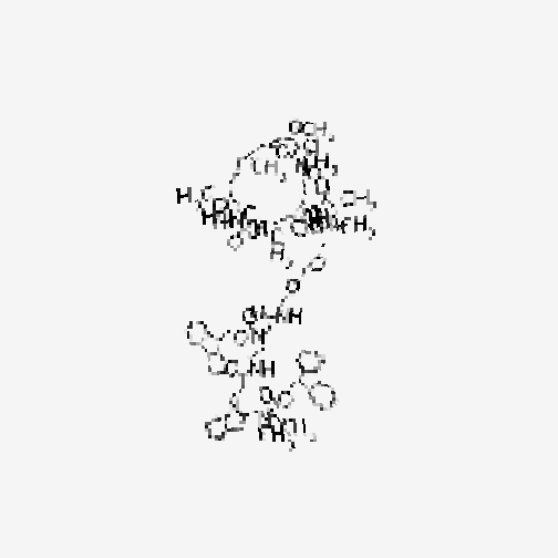 COc1cc2cc(c1Cl)N(C)C(=O)C[C@H](OC(=O)[C@H](C)N(C)C(=O)CCOCCOCCNC(=O)CN(CCNC(=O)CCn1c(CN(C)N(C)C(=O)OCC3c4ccccc4-c4ccccc43)cc3ccccc31)C(=O)OCC1c3ccccc3-c3ccccc31)[C@]1(C)OC1[C@H](C)[C@@H]1C[C@@](O)(NC(=O)O1)[C@H](OC)/C=C/C=C(\C)C2